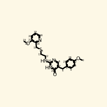 COc1ccc(Cc2cnc(NCCSCc3ncccc3OC)[nH]c2=O)cc1